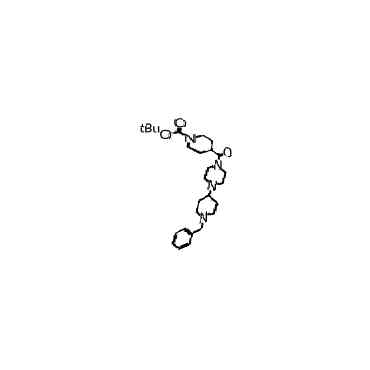 CC(C)(C)OC(=O)N1CCC(C(=O)N2CCN(C3CCN(Cc4ccccc4)CC3)CC2)CC1